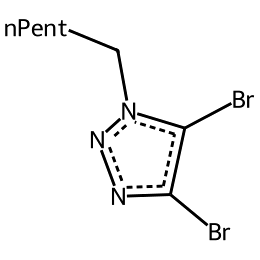 CCCCCCn1nnc(Br)c1Br